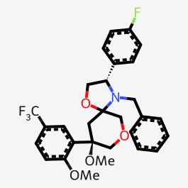 COc1ccc(C(F)(F)F)cc1[C@@]1(OC)COCC2(C1)OC[C@H](c1ccc(F)cc1)N2Cc1ccccc1